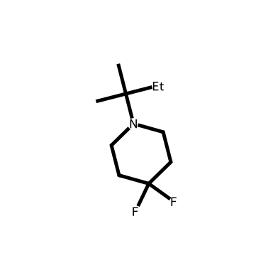 CCC(C)(C)N1CCC(F)(F)CC1